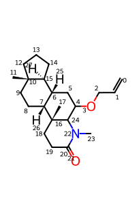 C=CCOC1C[C@@H]2[C@@H](CC[C@]3(C)CCC[C@@H]23)[C@@]2(C)CCC(=O)N(C)C12